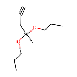 C#CC[Si](C)(OCCC)OCCC